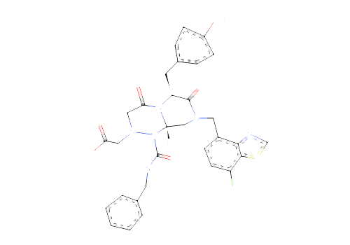 O=C(O)CN1CC(=O)N2[C@@H](Cc3ccc(O)cc3)C(=O)N(Cc3ccc(F)c4scnc34)C[C@@H]2N1C(=O)NCc1ccccc1